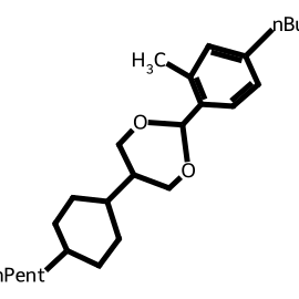 CCCCCC1CCC(C2COC(c3ccc(CCCC)cc3C)OC2)CC1